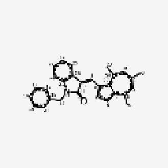 Cc1cc(C)c2ccc(C=C3C(=O)N(Cc4ccccc4)c4ccccc43)c-2c(C)c1